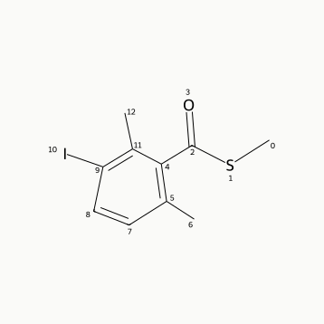 CSC(=O)c1c(C)ccc(I)c1C